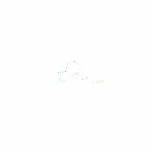 Cn1cc2c(C=CCO)cccc2n1